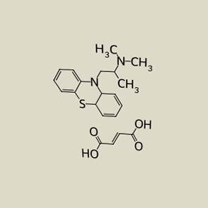 CC(CN1c2ccccc2SC2C=CC=CC21)N(C)C.O=C(O)C=CC(=O)O